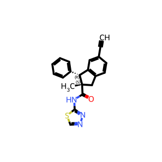 C#Cc1ccc2c(c1)[C@@H](c1ccccc1)[C@@](C)(C(=O)Nc1nncs1)C2